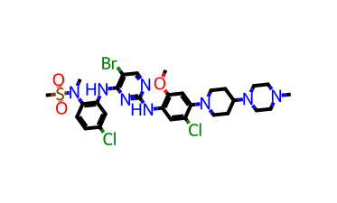 COc1cc(N2CCC(N3CCN(C)CC3)CC2)c(Cl)cc1Nc1ncc(Br)c(Nc2cc(Cl)ccc2N(C)S(C)(=O)=O)n1